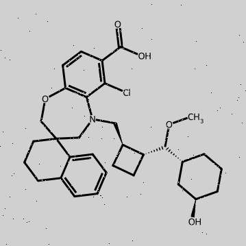 COC([C@@H]1CCC[C@@H](O)C1)[C@@H]1CC[C@H]1CN1CC2(CCCc3ccccc32)COc2ccc(C(=O)O)c(Cl)c21